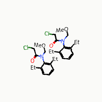 CCc1cccc(CC)c1N(COC)C(=O)CCl.CCc1cccc(CC)c1N(COC)C(=O)CCl